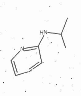 CC(C)Nc1[c]cccn1